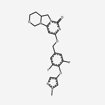 Cn1cc(Oc2c(F)cc(COc3cc4n(c(=O)n3)CC3CCOCN43)cc2F)cn1